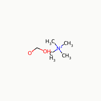 C[N+](C)(C)C.[O-]CO